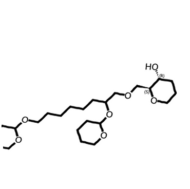 O[C@@H]1CCCO[C@H]1COCC(CCCCCCOC1CCCCO1)OC1CCCCO1